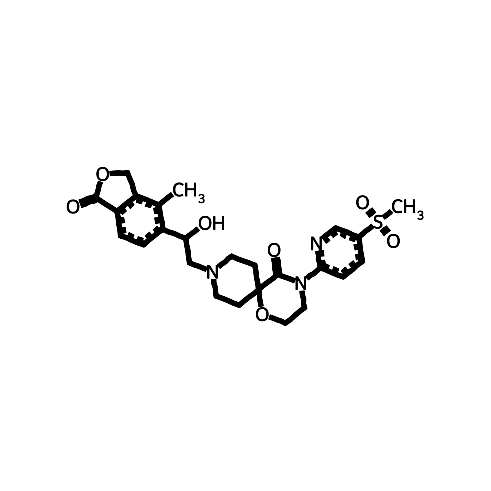 Cc1c(C(O)CN2CCC3(CC2)OCCN(c2ccc(S(C)(=O)=O)cn2)C3=O)ccc2c1COC2=O